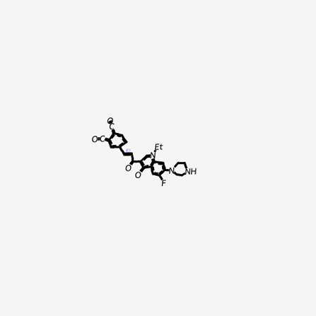 CCn1cc(C(=O)/C=C/c2ccc(=C=O)c(=C=O)c2)c(=O)c2cc(F)c(N3CCNCC3)cc21